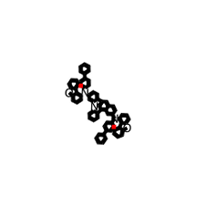 c1ccc(-c2ccc(N(c3ccc4cc5c6ccc(N(c7ccc(-c8ccccc8)cc7)c7cccc8oc9ccccc9c78)cc6n6c7ccccc7c(c4c3)c56)c3cccc4oc5ccccc5c34)cc2)cc1